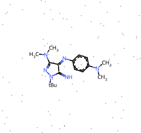 CN(C)C1=NN(C(C)(C)C)C(=N)C1=Nc1ccc(N(C)C)cc1